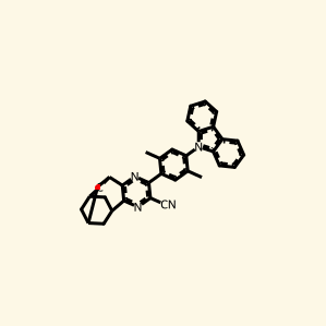 Cc1cc(-n2c3ccccc3c3ccccc32)c(C)cc1-c1nc2c(nc1C#N)C1CC3CC(C1)CC2C3